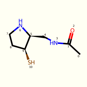 CC(=O)NC[C@@H]1NCC[C@@H]1S